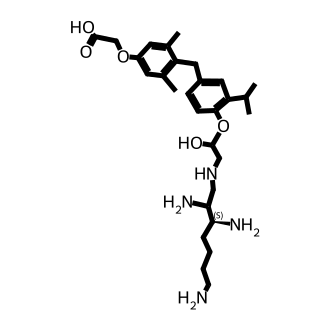 Cc1cc(OCC(=O)O)cc(C)c1Cc1ccc(OC(O)CNCC(N)[C@@H](N)CCCCN)c(C(C)C)c1